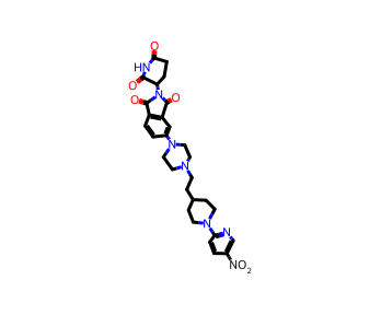 O=C1CCC(N2C(=O)c3ccc(N4CCN(CCC5CCN(c6ccc([N+](=O)[O-])cn6)CC5)CC4)cc3C2=O)C(=O)N1